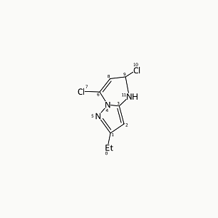 CCc1cc2n(n1)C(Cl)=CC(Cl)N2